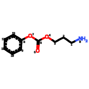 NCCCOC(=O)Oc1ccccc1